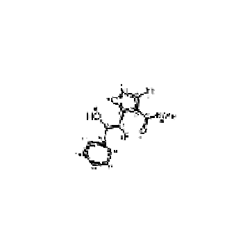 CCc1noc(C(F)C(O)c2ccccc2)c1C(=O)NC